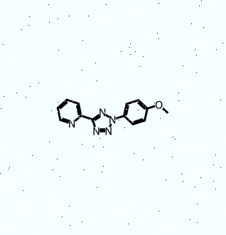 COc1ccc(-n2nnc(-c3ccccn3)n2)cc1